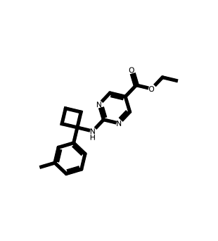 CCOC(=O)c1cnc(NC2(c3cccc(C)c3)CCC2)nc1